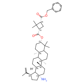 C=C(C)[C@@H]1CC[C@]2(N)CC[C@]3(C)[C@H](CCC4[C@@]5(C)CC[C@H](OC(=O)[C@H]6C[C@@H](C(=O)OCc7ccccc7)C6(C)C)C(C)(C)C5CC[C@]43C)C12